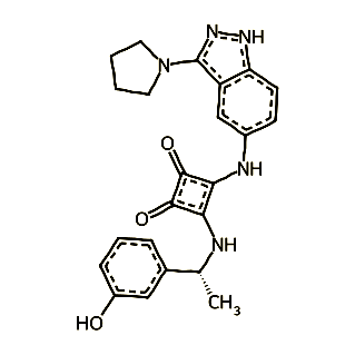 C[C@@H](Nc1c(Nc2ccc3[nH]nc(N4CCCC4)c3c2)c(=O)c1=O)c1cccc(O)c1